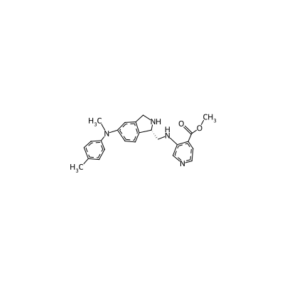 COC(=O)c1ccncc1NC[C@H]1NCc2cc(N(C)c3ccc(C)cc3)ccc21